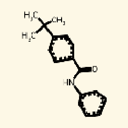 CC(C)(C)c1ccc(C(=O)Nc2ccccc2)cc1